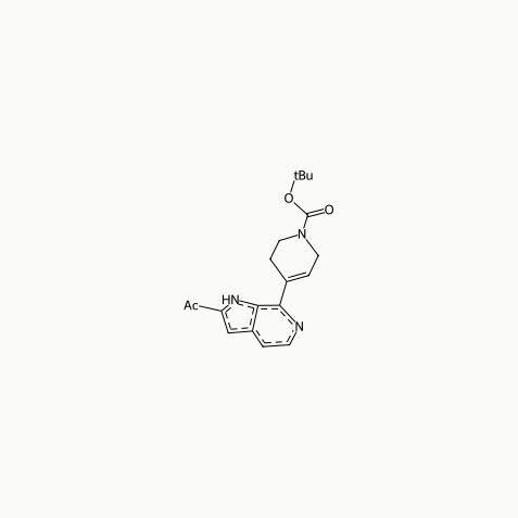 CC(=O)c1cc2ccnc(C3=CCN(C(=O)OC(C)(C)C)CC3)c2[nH]1